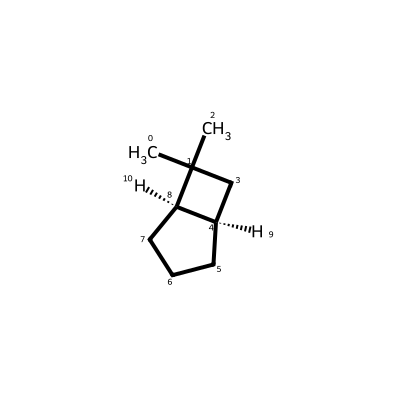 CC1(C)[CH][C@H]2CCC[C@H]21